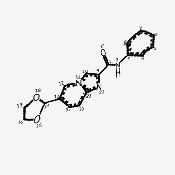 O=C(Nc1ccccc1)c1cn2cc(C3OCCO3)ccc2n1